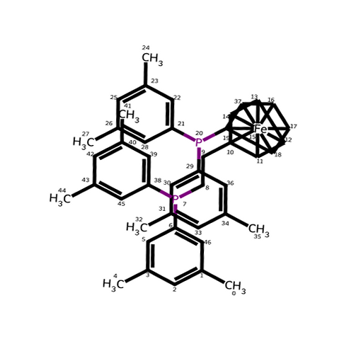 Cc1cc(C)cc(P(CC[C]23[CH]4[CH]5[CH]6[CH]2[Fe]56432789[CH]3[CH]2[CH]7[C]8(P(c2cc(C)cc(C)c2)c2cc(C)cc(C)c2)[CH]39)c2cc(C)cc(C)c2)c1